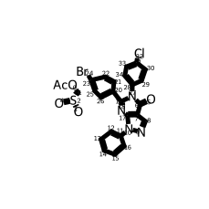 CC(=O)OC=S(=O)=O.O=c1c2cnn(-c3ccccc3)c2nc(-c2ccc(Br)cc2)n1-c1ccc(Cl)cc1